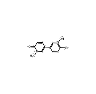 CC(C)c1ccc(-c2ccc(=O)n(C)c2)cc1O